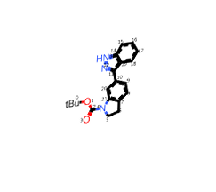 CC(C)(C)OC(=O)N1CCc2ccc(-c3n[nH]c4ccccc34)cc21